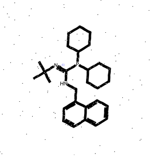 CC(C)(C)/N=C(\NCc1cccc2ccccc12)P(C1CCCCC1)C1CCCCC1